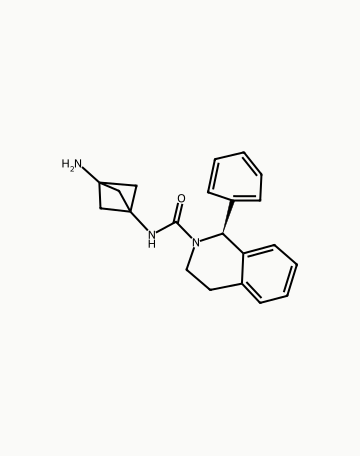 NC12CC(NC(=O)N3CCc4ccccc4[C@@H]3c3ccccc3)(C1)C2